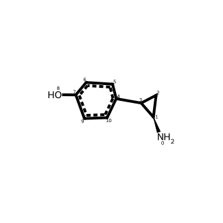 N[C@@H]1CC1c1ccc(O)cc1